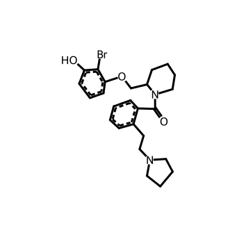 O=C(c1ccccc1CCN1CCCC1)N1CCCCC1COc1cccc(O)c1Br